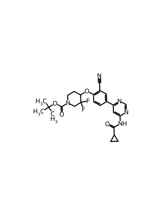 CC(C)(C)OC(=O)N1CCC(Oc2ccc(-c3cc(NC(=O)C4CC4)ncn3)cc2C#N)C(F)(F)C1